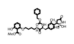 COC(=O)c1c(O)cccc1OCCCCNC(=O)[C@H](Cc1ccc(C2CC(=O)NS2(O)O)c(C)c1)NC(=O)OCc1ccccc1